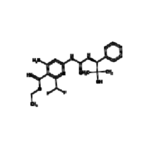 CCOC(=N)c1c(N)cc(NC(=O)N[C@@H](c2ccccc2)C(C)(C)O)nc1C(F)F